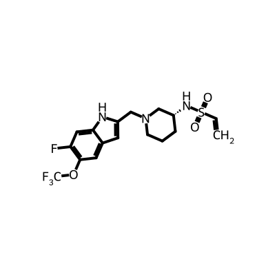 C=CS(=O)(=O)N[C@@H]1CCCN(Cc2cc3cc(OC(F)(F)F)c(F)cc3[nH]2)C1